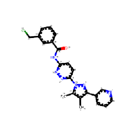 Cc1c(-c2cccnc2)nn(-c2ccc(NC(=O)c3cccc(CCl)c3)nn2)c1C(F)(F)F